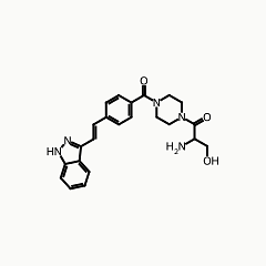 NC(CO)C(=O)N1CCN(C(=O)c2ccc(C=Cc3n[nH]c4ccccc34)cc2)CC1